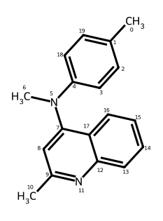 Cc1ccc(N(C)c2cc(C)nc3ccccc23)cc1